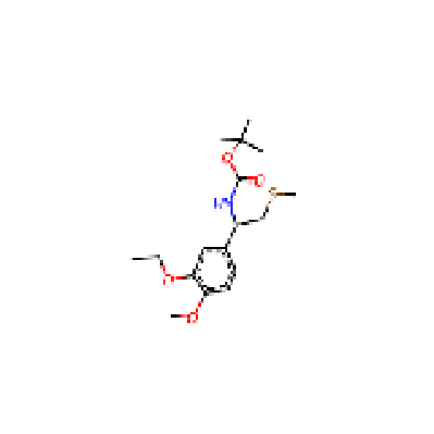 CCOc1cc(C(CSC)NC(=O)OC(C)(C)C)ccc1OC